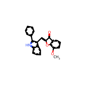 COc1cccc2c1OC(=Cc1c(-c3ccccc3)[nH]c3ccccc13)C2=O